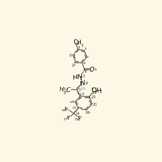 C/C(=N\NC(=O)c1ccc(C)cc1)c1cc(C(F)(F)F)ccc1O